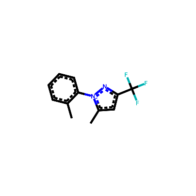 Cc1ccccc1-n1nc(C(F)(F)F)cc1C